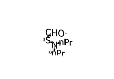 CCCN(CCC)S[C]=O